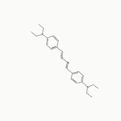 CCN(CC)c1ccc(C=NN=Cc2ccc(N(CC)CC)cc2)cc1